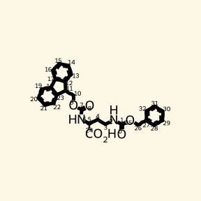 O=C(NCC[C@H](NC(=O)OCC1c2ccccc2-c2ccccc21)C(=O)O)OCc1ccccc1